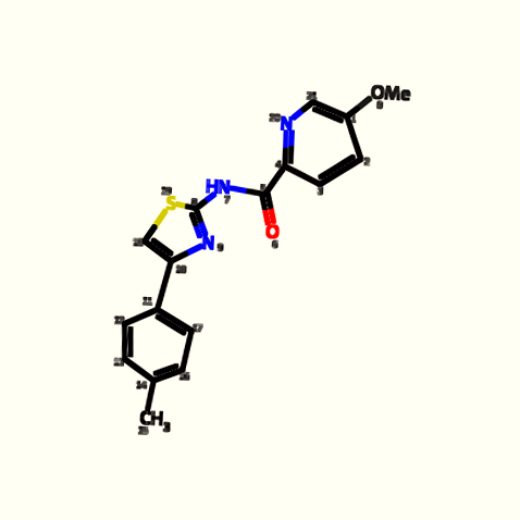 COc1ccc(C(=O)Nc2nc(-c3ccc(C)cc3)cs2)nc1